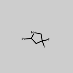 CC(C)C1CC(F)(F)CN1